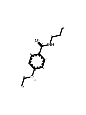 CCCNC(=O)c1ccc(OCC)cc1